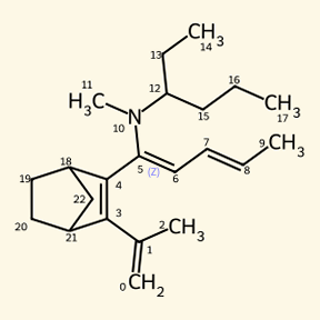 C=C(C)C1=C(/C(=C/C=CC)N(C)C(CC)CCC)C2CCC1C2